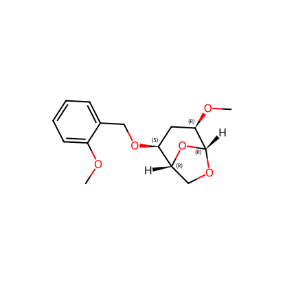 COc1ccccc1CO[C@H]1C[C@@H](OC)[C@@H]2OC[C@H]1O2